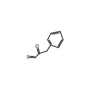 O=C([C]=S)Cc1ccccc1